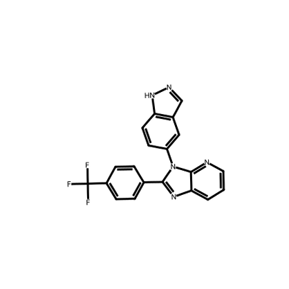 FC(F)(F)c1ccc(-c2nc3cccnc3n2-c2ccc3[nH]ncc3c2)cc1